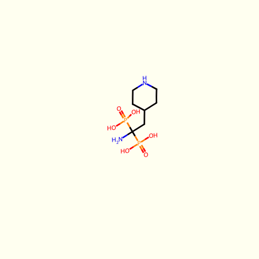 NC(CC1CCNCC1)(P(=O)(O)O)P(=O)(O)O